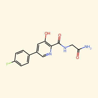 NC(=O)CNC(=O)c1ncc(-c2ccc(F)cc2)cc1O